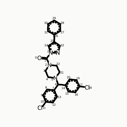 O=C(N1CCN(C(c2ccc(Cl)cc2)c2ccc(Cl)cc2)CC1)n1cc(-c2ccccc2)cn1